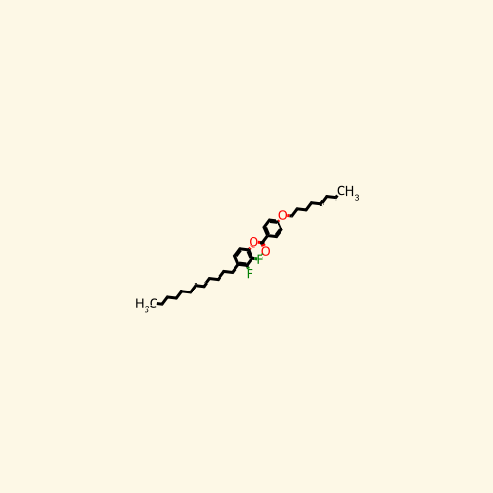 CCCCCCCCCCCCc1ccc(OC(=O)c2ccc(OCCCCCCCC)cc2)c(F)c1F